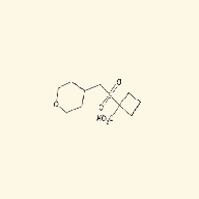 O=C(O)C1(S(=O)(=O)CC2CCOCC2)CCC1